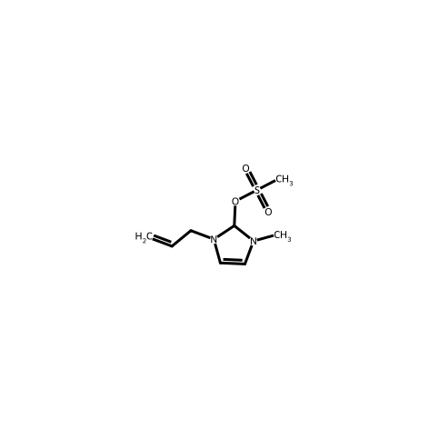 C=CCN1C=CN(C)C1OS(C)(=O)=O